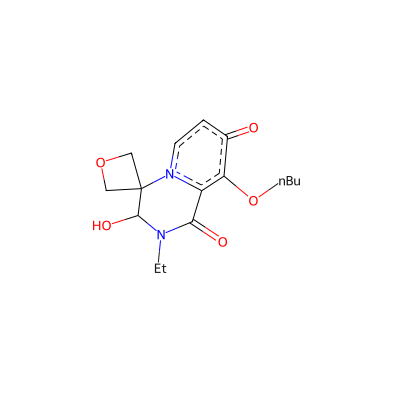 CCCCOc1c2n(ccc1=O)C1(COC1)C(O)N(CC)C2=O